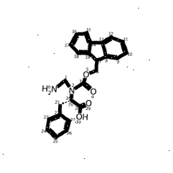 NCN(C(=O)OCC1c2ccccc2-c2ccccc21)[C@@H](Cc1ccccc1)C(=O)O